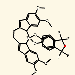 COc1cc2c(cc1OC)[CH]1C(=C2)CCC2=Cc3cc(OC)c(OC)cc3[CH]2[Zr]1([O]c1ccc(C(F)(F)F)cc1)[O]c1ccc(C(F)(F)F)cc1